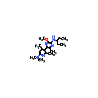 CCC(CC)Nc1nc(C)c(-c2c(C)cc(N(C)C)nc2C)nc1OC